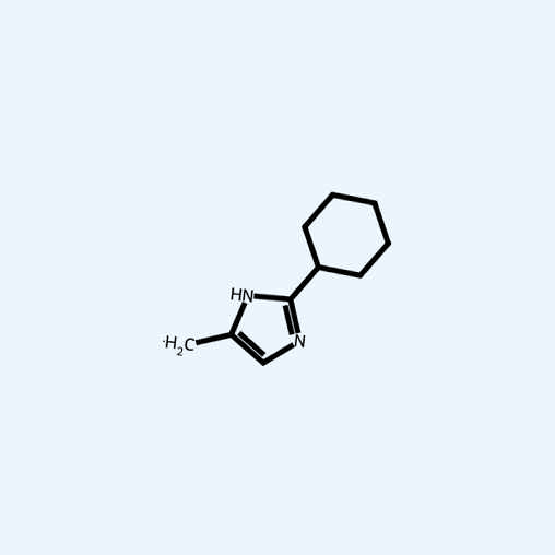 [CH2]c1cnc(C2CCCCC2)[nH]1